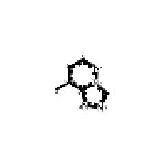 Cc1ccnn2cnnc12